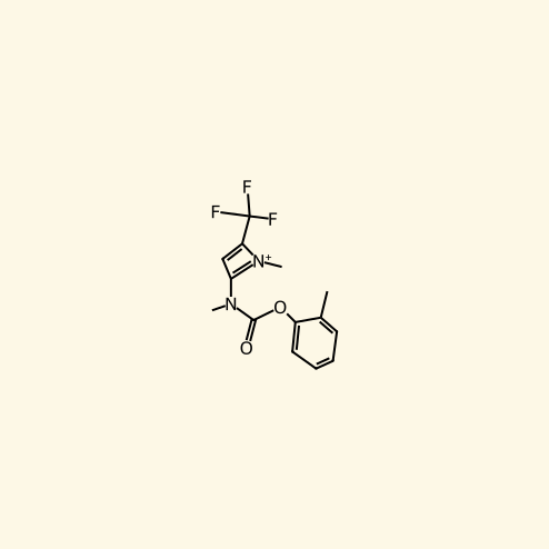 Cc1ccccc1OC(=O)N(C)C1=[N+](C)C(C(F)(F)F)=C1